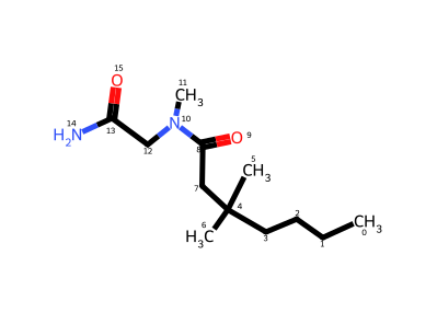 CCCCC(C)(C)CC(=O)N(C)CC(N)=O